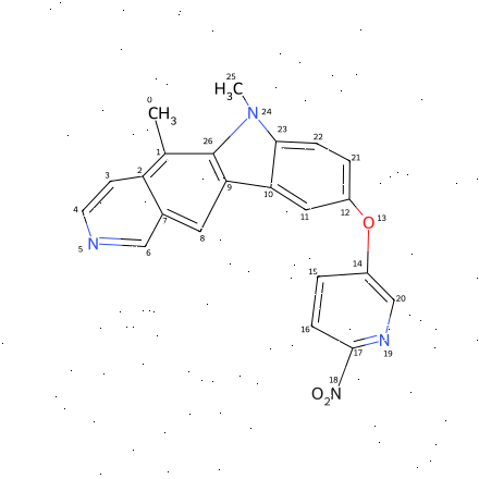 Cc1c2ccncc2cc2c3cc(Oc4ccc([N+](=O)[O-])nc4)ccc3n(C)c12